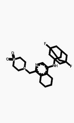 O=S1(=O)CCN(Cc2ncc(NC34CC5CC(F)(CC(F)(C5)C3)C4)c3c2CCCC3)CC1